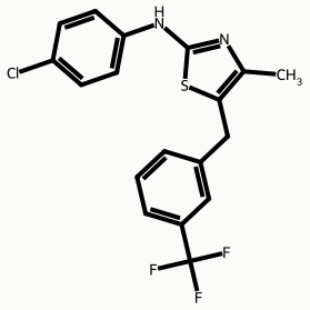 Cc1nc(Nc2ccc(Cl)cc2)sc1Cc1cccc(C(F)(F)F)c1